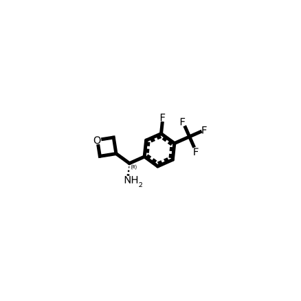 N[C@@H](c1ccc(C(F)(F)F)c(F)c1)C1COC1